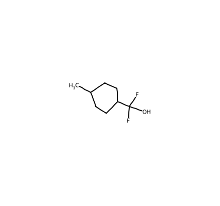 CC1CCC(C(O)(F)F)CC1